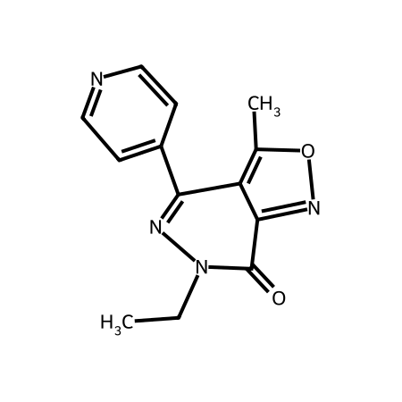 CCn1nc(-c2ccncc2)c2c(C)onc2c1=O